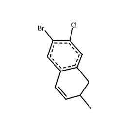 CC1C=Cc2cc(Br)c(Cl)cc2C1